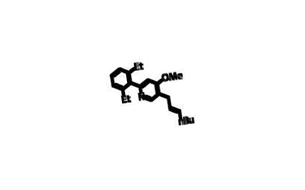 CCCCC=CCc1cnc(-c2c(CC)cccc2CC)cc1OC